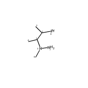 CC(C)C(C)C(C)N(C)N